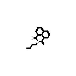 C=c1c2cccc3cccc(c(=O)n1CCCC)c32